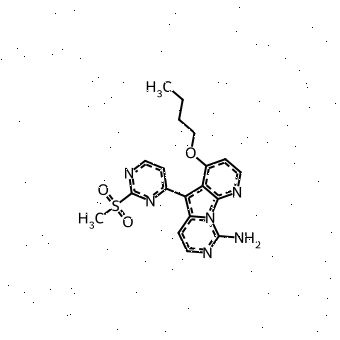 CCCCOc1ccnc2c1c(-c1ccnc(S(C)(=O)=O)n1)c1ccnc(N)n12